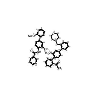 COc1ncccc1-c1ccc(NC(=O)c2cccnc2)c(C)c1.Cc1cc(-c2ccccc2CN2CCOCC2)ccc1-c1ncccc1C(N)=O